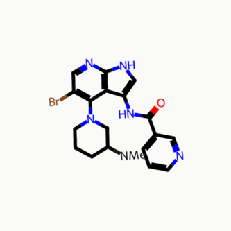 CNC1CCCN(c2c(Br)cnc3[nH]cc(NC(=O)c4cccnc4)c23)C1